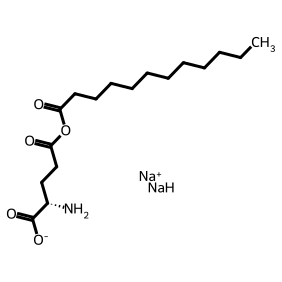 CCCCCCCCCCCC(=O)OC(=O)CC[C@H](N)C(=O)[O-].[Na+].[NaH]